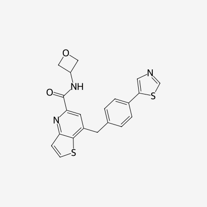 O=C(NC1COC1)c1cc(Cc2ccc(-c3cncs3)cc2)c2sccc2n1